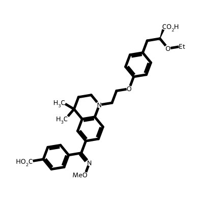 CCO[C@@H](Cc1ccc(OCCN2CCC(C)(C)c3cc(C(=NOC)c4ccc(C(=O)O)cc4)ccc32)cc1)C(=O)O